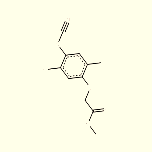 COC(=O)COc1cc(Cl)c(SC#N)cc1C